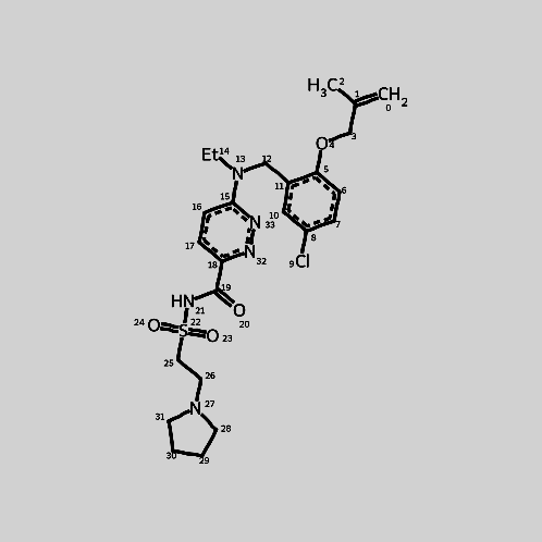 C=C(C)COc1ccc(Cl)cc1CN(CC)c1ccc(C(=O)NS(=O)(=O)CCN2CCCC2)nn1